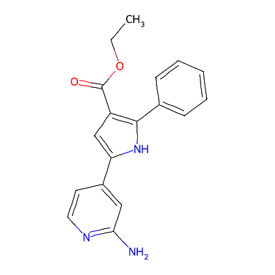 CCOC(=O)c1cc(-c2ccnc(N)c2)[nH]c1-c1ccccc1